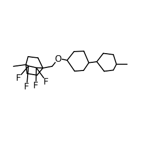 CC1CCC(C2CCC(OCC34CCC(C)(CC3)C(F)(F)C4(F)F)CC2)CC1